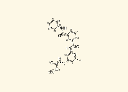 Cc1cc(CNC(=O)OC(C)(C)C)cc(NC(=O)c2cccc(C(=O)Nc3ccccc3)c2)n1